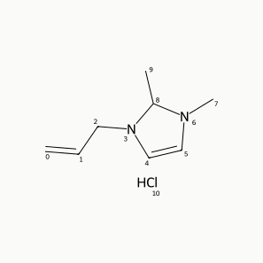 C=CCN1C=CN(C)C1C.Cl